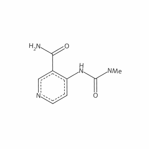 CNC(=O)Nc1ccncc1C(N)=O